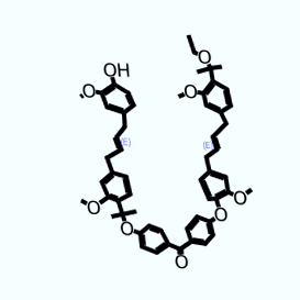 CCOC(C)(C)c1ccc(C/C=C/Cc2ccc(Oc3ccc(C(=O)c4ccc(OC(C)(C)c5ccc(C/C=C/Cc6ccc(O)c(OC)c6)cc5OC)cc4)cc3)c(OC)c2)cc1OC